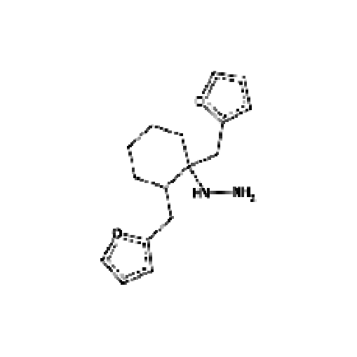 NNC1(Cc2ccco2)CCCCC1Cc1ccco1